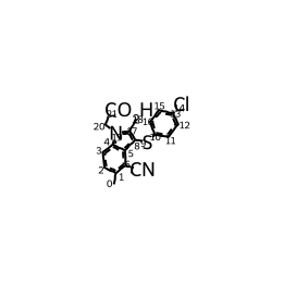 Cc1ccc2c(c1C#N)c(Sc1ccc(Cl)cc1)c(C)n2CC(=O)O